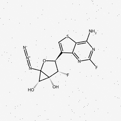 [N-]=[N+]=NC12O[C@@H](c3csc4c(N)nc(F)nc34)[C@H](F)[C@@]1(O)[C@@H]2O